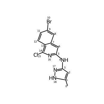 Cc1cc(Nc2cc3cc(Br)ccc3c(Cl)n2)n[nH]1